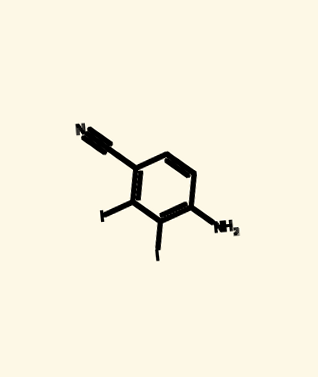 N#Cc1ccc(N)c(I)c1I